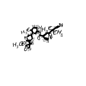 COc1ncc(-c2cc(NC(=O)c3ccnc(C(C)(C)C#N)c3)ccc2C)cc1C1(F)COC1